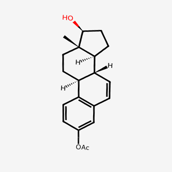 CC(=O)Oc1ccc2c(c1)C=C[C@@H]1[C@@H]2CC[C@]2(C)[C@@H](O)CC[C@@H]12